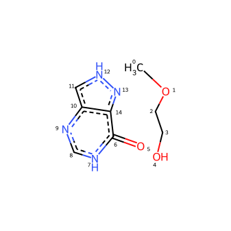 COCCO.O=c1[nH]cnc2c[nH]nc12